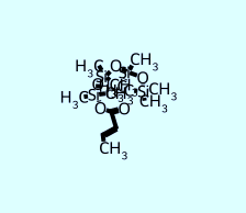 CC=CC(=O)O[Si](C)(C)O[Si](C)(C)O[Si](C)(C)O[Si](C)(C)C